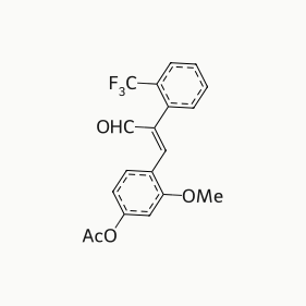 COc1cc(OC(C)=O)ccc1/C=C(\C=O)c1ccccc1C(F)(F)F